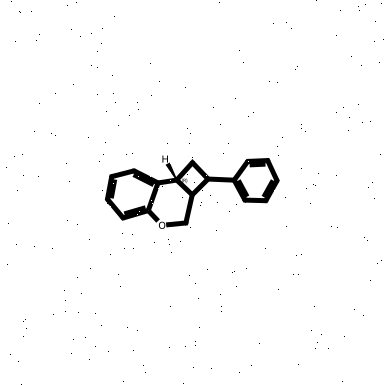 c1ccc(C2C[C@H]3c4ccccc4OCC23)cc1